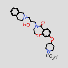 O=C(O)N1CCC(Oc2ccc3c(c2)OCCN(C[C@H](O)CN2CCc4ccccc4C2)C3=O)CC1